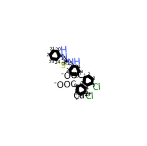 O=C([O-])c1ccc(Cl)cc1.O=C([O-])c1ccc(Cl)cc1.S=C(Nc1ccccc1)Nc1ccccc1.[Cu+2]